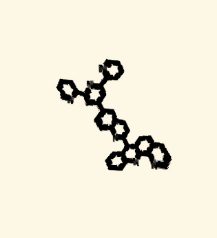 c1ccc(-c2cc(-c3ccc4nc(-c5c6ccccc6nc6c5ccc5cccnc56)ccc4c3)cc(-c3ccccn3)n2)nc1